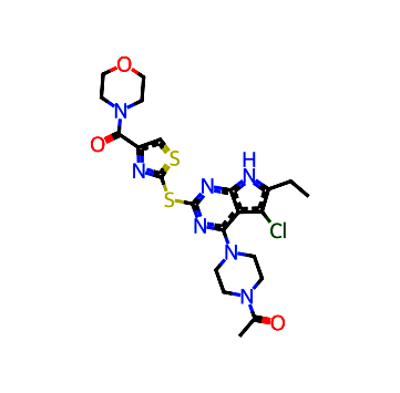 CCc1[nH]c2nc(Sc3nc(C(=O)N4CCOCC4)cs3)nc(N3CCN(C(C)=O)CC3)c2c1Cl